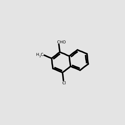 Cc1cc(Cl)c2ccccc2c1C=O